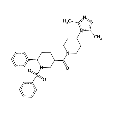 Cc1nnc(C)n1C1CCN(C(=O)[C@@H]2CC[C@H](c3ccccc3)N(S(=O)(=O)c3ccccc3)C2)CC1